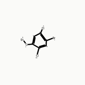 [CH2]COc1cc(Cl)c(Br)cc1Cl